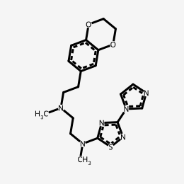 CN(CCc1ccc2c(c1)OCCO2)CCN(C)c1nc(-n2ccnc2)ns1